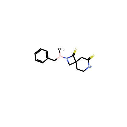 CB(Cc1ccccc1)N1CC2(CCNC(=S)C2)C1=S